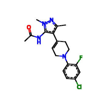 CC(=O)Nc1c(C2=CCN(c3ccc(Cl)cc3F)CC2)c(C)nn1C